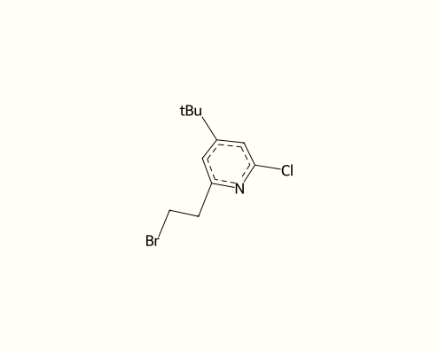 CC(C)(C)c1cc(Cl)nc(CCBr)c1